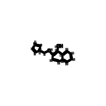 Oc1c(OCn2ccnc2)ccc2ccccc12